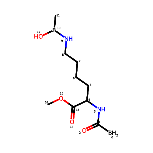 BC(=O)NC(CCCCNB(C)O)C(=O)OC